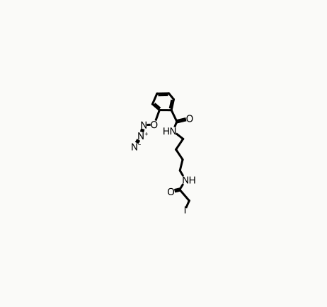 [N-]=[N+]=NOc1ccccc1C(=O)NCCCCNC(=O)CI